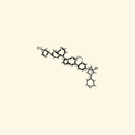 CCn1cnc(-c2ccc3c(-c4cnc5cc(-c6ccc([C@@]78C[C@@H]7CN(C7CCOCC7)C8)cc6)c(C)nn45)ccnc3n2)c1